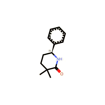 CC1(C)CC[C@@H](c2ccccc2)NC1=O